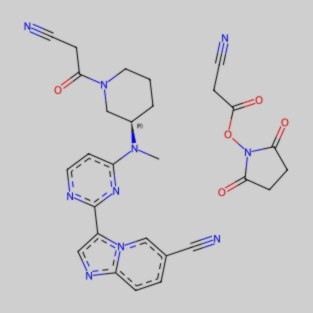 CN(c1ccnc(-c2cnc3ccc(C#N)cn23)n1)[C@@H]1CCCN(C(=O)CC#N)C1.N#CCC(=O)ON1C(=O)CCC1=O